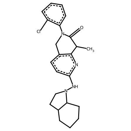 CC1C(=O)N(c2ccccc2Cl)Cc2ccc(NN3CCC4CCCCC43)nc21